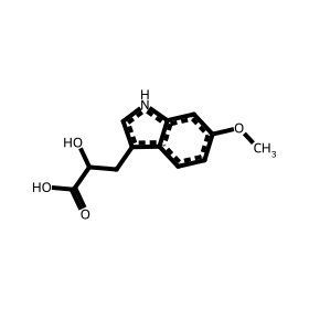 COc1ccc2c(CC(O)C(=O)O)c[nH]c2c1